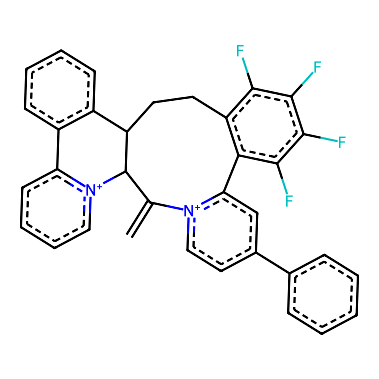 C=C1C2C(CCc3c(F)c(F)c(F)c(F)c3-c3cc(-c4ccccc4)cc[n+]31)c1ccccc1-c1cccc[n+]12